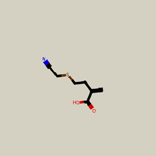 C=C(CCSCC#N)C(=O)O